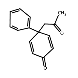 CC(=O)CC1(c2ccccc2)C=CC(=O)C=C1